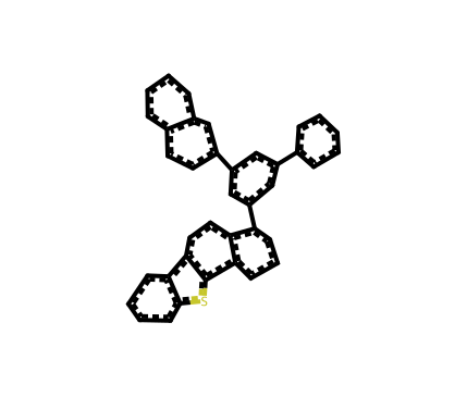 c1ccc(-c2cc(-c3ccc4ccccc4c3)cc(-c3cccc4c3ccc3c5ccccc5sc43)c2)cc1